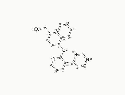 C=Cc1ccc(Oc2ncccc2-c2ccncn2)c2ccccc12